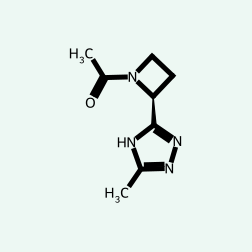 CC(=O)N1CC[C@H]1c1nnc(C)[nH]1